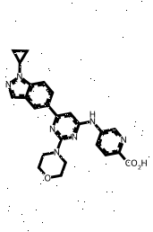 O=C(O)c1ccc(Nc2cc(-c3ccc4c(cnn4C4CC4)c3)nc(N3CCOCC3)n2)cn1